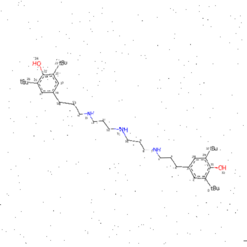 CC(C)(C)c1cc(CCCNCCCNCCCNCCCc2cc(C(C)(C)C)c(O)c(C(C)(C)C)c2)cc(C(C)(C)C)c1O